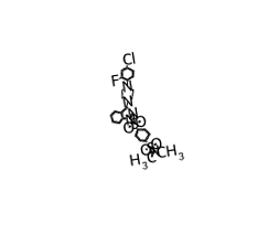 CN(C)S(=O)(=O)c1ccc(S(=O)(=O)n2nc(N3CCN(c4ccc(Cl)cc4F)CC3)c3ccccc32)cc1